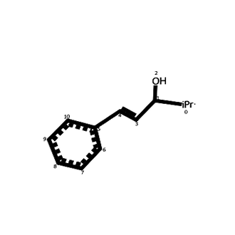 C[C](C)C(O)C=Cc1ccccc1